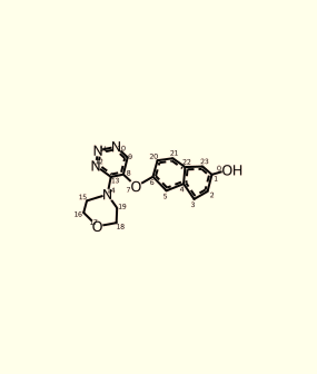 Oc1ccc2cc(Oc3cnnnc3N3CCOCC3)ccc2c1